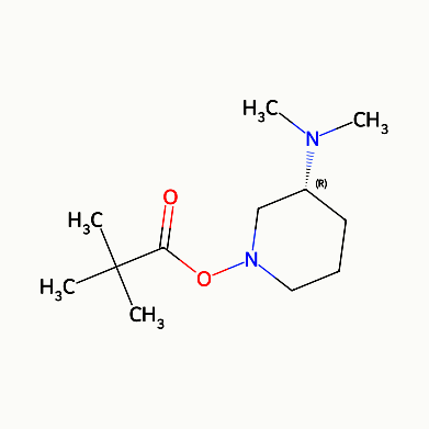 CN(C)[C@@H]1CCCN(OC(=O)C(C)(C)C)C1